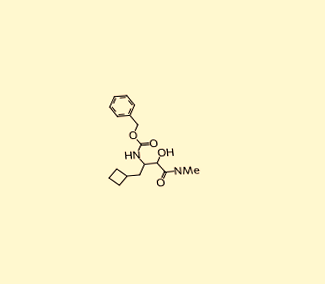 CNC(=O)C(O)C(CC1CCC1)NC(=O)OCc1ccccc1